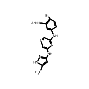 CCc1ccc(Nc2cncc(Nc3cc(C)[nH]n3)n2)cc1NC(C)=O